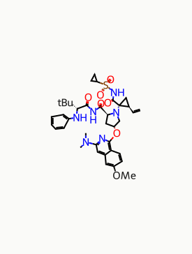 C=C[C@@H]1C[C@@]1(C(=O)NS(=O)(=O)C1CC1)N1C[C@H](Oc2nc(N(C)C)cc3cc(OC)ccc23)C[C@H]1C(=O)NC(=O)[C@H](Nc1ccccc1)C(C)(C)C